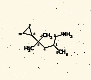 CC(CN)CC(C)(C)C1CC1